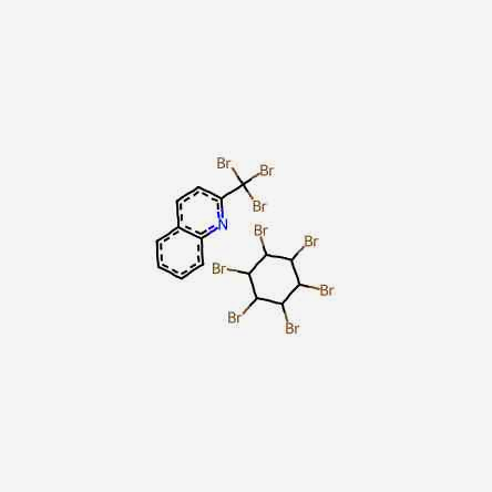 BrC(Br)(Br)c1ccc2ccccc2n1.BrC1C(Br)C(Br)C(Br)C(Br)C1Br